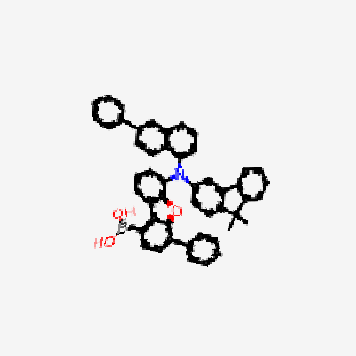 CC1(C)c2ccccc2-c2cc(N(c3cccc4cc(-c5ccccc5)ccc34)c3cccc4c3oc3c(-c5ccccc5)ccc(B(O)O)c34)ccc21